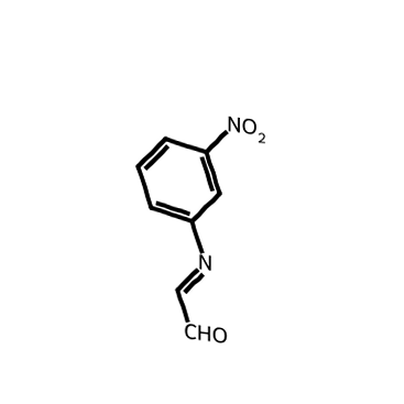 O=CC=Nc1cccc([N+](=O)[O-])c1